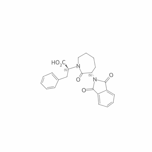 O=C(O)[C@H](Cc1ccccc1)N1CCCC[C@H](N2C(=O)c3ccccc3C2=O)C1=O